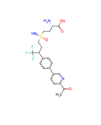 CC(=O)c1ccc(-c2ccc(C(CCS(=N)(=O)CC[C@H](N)C(=O)O)C(F)(F)F)cc2)cn1